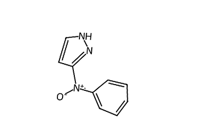 [O-][N+](c1ccccc1)c1cc[nH]n1